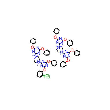 C[N+]1(c2nc(Oc3ccccc3)nc(Oc3ccccc3)n2)CC[N+](C)(c2nc(Oc3ccccc3)nc(Oc3ccccc3)n2)CC1.C[N+]1(c2nc(Oc3ccccc3)nc(Oc3ccccc3)n2)CC[N+](C)(c2nc(Oc3ccccc3)nc(Oc3ccccc3)n2)CC1.Cl.Cl